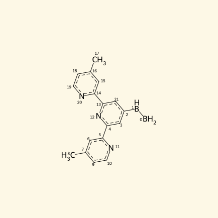 BBc1cc(-c2cc(C)ccn2)nc(-c2cc(C)ccn2)c1